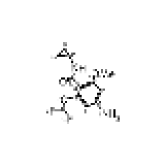 COc1cc(N)cc(OC(F)F)c1C(=O)NC1CC1